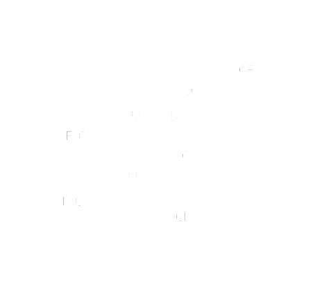 FC(F)(F)COB(OCC(F)(F)F)OC(OCC(F)(F)F)C(F)(F)F